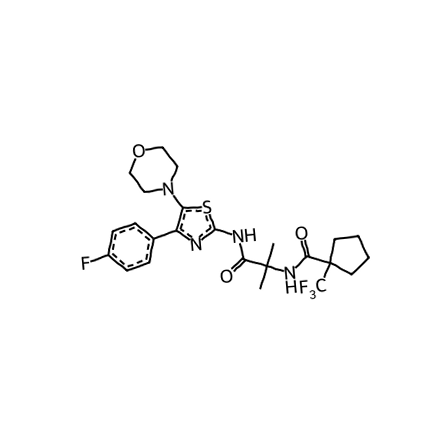 CC(C)(NC(=O)C1(C(F)(F)F)CCCC1)C(=O)Nc1nc(-c2ccc(F)cc2)c(N2CCOCC2)s1